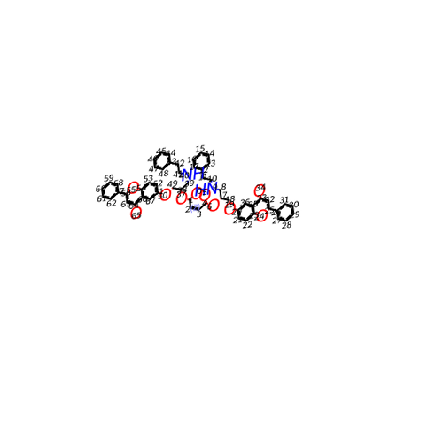 O=C(/C=C\C(=O)OC(CNCCc1ccccc1)COc1ccc2oc(-c3ccccc3)cc(=O)c2c1)OC(CNCCc1ccccc1)COc1ccc2oc(-c3ccccc3)cc(=O)c2c1